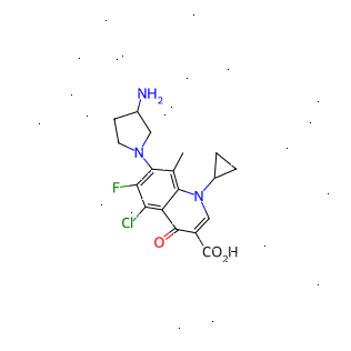 Cc1c(N2CCC(N)C2)c(F)c(Cl)c2c(=O)c(C(=O)O)cn(C3CC3)c12